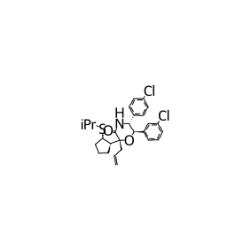 C=CC[C@]1([C@H]2CCC[C@H]2SC(C)C)O[C@H](c2cccc(Cl)c2)[C@@H](c2ccc(Cl)cc2)NC1=O